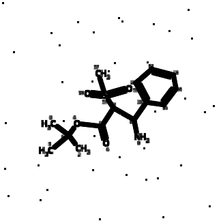 CC(C)(C)OC(=O)C(C(N)c1ccccc1)S(C)(=O)=O